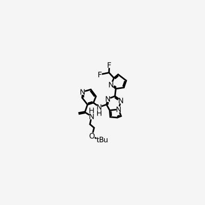 C=C(NCCOC(C)(C)C)c1cnccc1Nc1nc(-c2cccc(C(F)F)n2)nn2cccc12